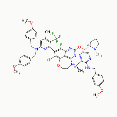 COc1ccc(CNc2nccnc2[C@@H](C)N2CCOc3c(Cl)c(-c4nc(N(Cc5ccc(OC)cc5)Cc5ccc(OC)cc5)cc(C)c4C(F)(F)F)c(F)c4nc(OC[C@@H]5CCCN5C)nc2c34)cc1